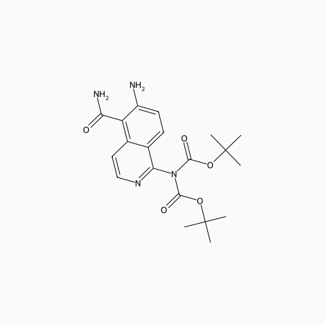 CC(C)(C)OC(=O)N(C(=O)OC(C)(C)C)c1nccc2c(C(N)=O)c(N)ccc12